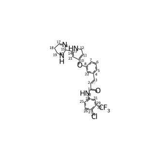 O=C(/C=C/c1cccc(OC2=CCNC(C3N=CCCN3)=C2)c1)Nc1ccc(Cl)c(C(F)(F)F)c1